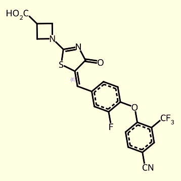 N#Cc1ccc(Oc2ccc(/C=C3/SC(N4CC(C(=O)O)C4)=NC3=O)cc2F)c(C(F)(F)F)c1